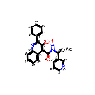 CC(=O)OC(NC(=O)c1c(O)c(-c2ccccc2)nc2ccccc12)c1cccnc1